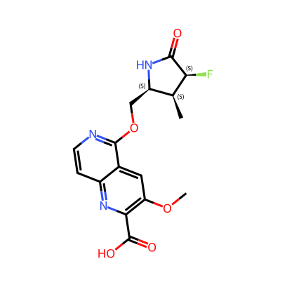 COc1cc2c(OC[C@H]3NC(=O)[C@@H](F)[C@H]3C)nccc2nc1C(=O)O